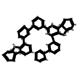 c1ccc(-c2cccc(-c3nc(-c4cccc(-c5cccc(-c6cccc7c6oc6ccccc67)c5)c4)nc4c3sc3ccccc34)c2)cc1